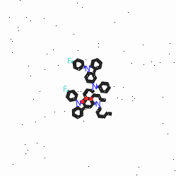 C=C/C=C\C=C\N(C(=C)/C=C\C(C)C(=C)/C=C\C(=C)N(c1ccccc1)c1ccc2c(c1)c1ccccc1n2-c1ccc(F)cc1)c1ccc2c(c1)c1ccccc1n2-c1ccc(F)cc1